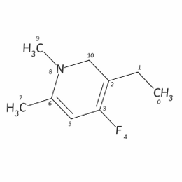 CCC1=C(F)C=C(C)N(C)C1